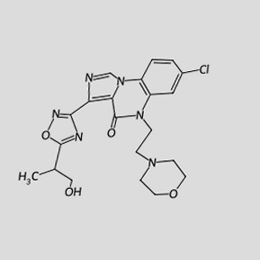 CC(CO)c1nc(-c2ncn3c2c(=O)n(CCN2CCOCC2)c2cc(Cl)ccc23)no1